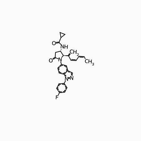 C=C(/C=C\C=C/C)[C@@H]1[C@@H](NC(=O)C2CC2)CC(=O)N1c1ccc2c(cnn2-c2ccc(F)cc2)c1